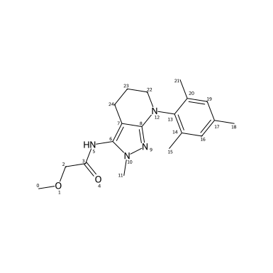 COCC(=O)Nc1c2c(nn1C)N(c1c(C)cc(C)cc1C)CCC2